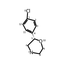 Clc1ccc([C@H]2C[N]CCO2)cc1